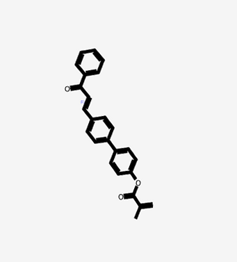 C=C(C)C(=O)Oc1ccc(-c2ccc(/C=C/C(=O)c3ccccc3)cc2)cc1